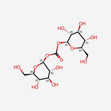 O=C(O[C@@H]1O[C@H](CO)[C@@H](O)[C@H](O)[C@H]1O)O[C@@H]1O[C@H](CO)[C@@H](O)[C@H](O)[C@H]1O